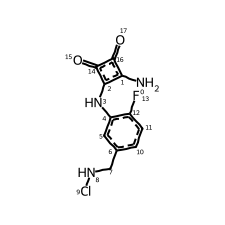 Nc1c(Nc2cc(CNCl)ccc2F)c(=O)c1=O